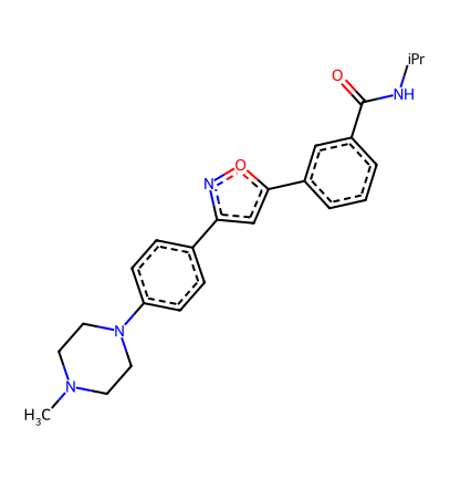 CC(C)NC(=O)c1cccc(-c2cc(-c3ccc(N4CCN(C)CC4)cc3)no2)c1